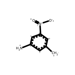 [CH2]c1cc(N)cc([N+](=O)[O-])c1